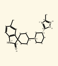 Cc1ccc2c(c1)C1(CCC(N3CCC[C@@H](c4nc(C)no4)C3)CC1)C(=O)N2